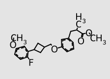 COC(=O)C(C)Cc1cccc(OCC2CC(c3cc(OC)ccc3F)C2)c1